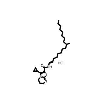 CCCCCCCCC(C)CCCCCCC=CNC(=O)C1=C(C2CC2)N2CCCN=C2S1.Cl